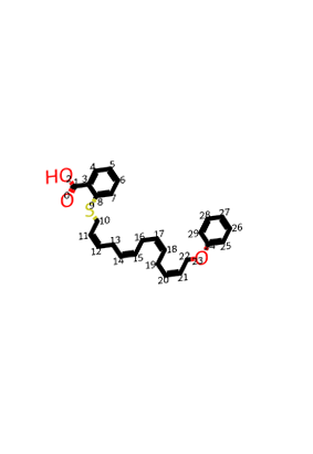 O=C(O)c1ccccc1SC/C=C\C/C=C\C/C=C\C/C=C\COc1ccccc1